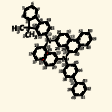 CC1(C)c2ccccc2-c2ccc(N(c3ccccc3)c3ccc4c(c3)c(N(c3ccccc3)c3ccc(-c5ccccc5)cc3)cc3ccccc34)cc21